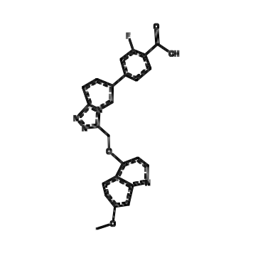 COc1ccc2c(OCc3nnc4ccc(-c5ccc(C(=O)O)c(F)c5)cn34)ccnc2c1